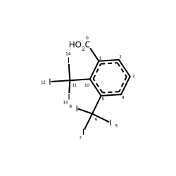 O=C(O)c1cccc(C(I)(I)I)c1C(I)(I)I